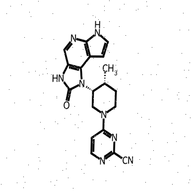 C[C@@H]1CCN(c2ccnc(C#N)n2)C[C@@H]1n1c(=O)[nH]c2cnc3[nH]ccc3c21